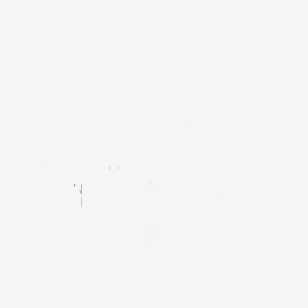 CCc1ccccc1C(=O)ONC